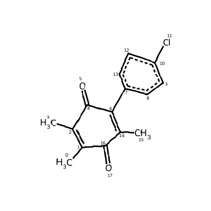 CC1=C(C)C(=O)C(c2ccc(Cl)cc2)=C(C)C1=O